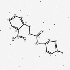 Cc1ccc(OC(=O)CCc2ccccc2[N+](=O)[O-])cc1